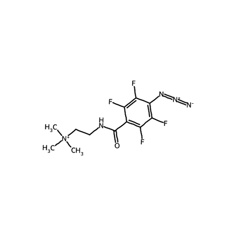 C[N+](C)(C)CCNC(=O)c1c(F)c(F)c(N=[N+]=[N-])c(F)c1F